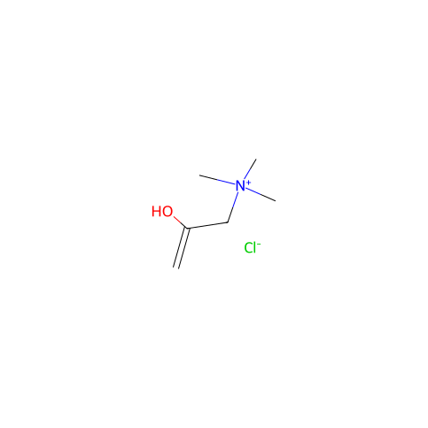 C=C(O)C[N+](C)(C)C.[Cl-]